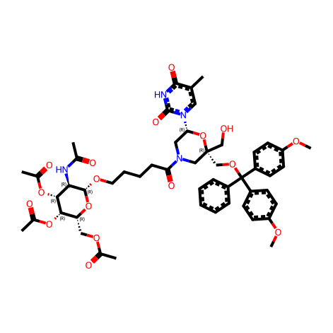 COc1ccc(C(OC[C@]2(CO)CN(C(=O)CCCCO[C@@H]3O[C@H](COC(C)=O)[C@H](OC(C)=O)[C@H](OC(C)=O)[C@H]3NC(C)=O)C[C@H](n3cc(C)c(=O)[nH]c3=O)O2)(c2ccccc2)c2ccc(OC)cc2)cc1